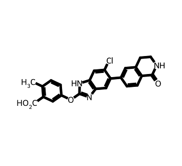 Cc1ccc(Oc2nc3cc(-c4ccc5c(c4)CCNC5=O)c(Cl)cc3[nH]2)cc1C(=O)O